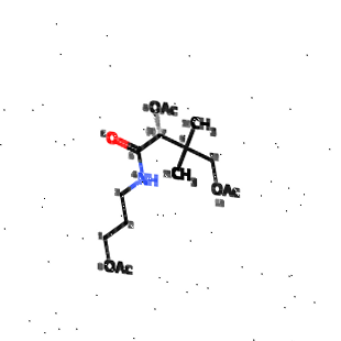 CC(=O)OCCCNC(=O)[C@H](OC(C)=O)C(C)(C)COC(C)=O